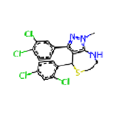 Cn1nc(-c2ccc(Cl)c(Cl)c2)c2c1NCCSC2c1ccc(Cl)cc1Cl